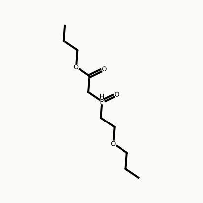 CCCOCC[PH](=O)CC(=O)OCCC